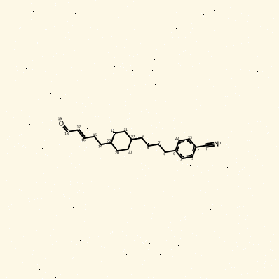 N#Cc1ccc(CCCCC2CCC(CCC=CC=O)CC2)cc1